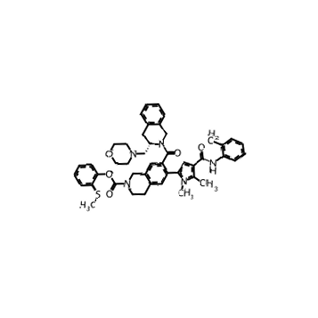 CSc1ccccc1OC(=O)N1CCc2cc(-c3cc(C(=O)Nc4ccccc4C)c(C)n3C)c(C(=O)N3Cc4ccccc4C[C@H]3CN3CCOCC3)cc2C1